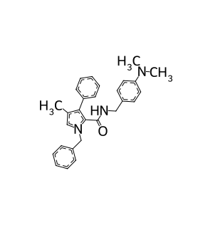 Cc1cn(Cc2ccccc2)c(C(=O)NCc2ccc(N(C)C)cc2)c1-c1ccccc1